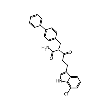 NC(=O)N(Cc1ccc(-c2ccccc2)cc1)C(=O)CCc1c[nH]c2c(Cl)cccc12